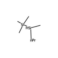 CCC[SiH](C)[Si](C)(C)C